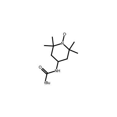 CC(C)(C)C(=O)NC1CC(C)(C)N([O])C(C)(C)C1